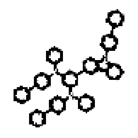 c1ccc(-c2ccc(N(c3ccccc3)c3cc(-c4ccc5c(c4)c4ccccc4n5-c4ccc(-c5ccccc5)cc4)cc(N(c4ccccc4)c4ccc(-c5ccccc5)cc4)c3)cc2)cc1